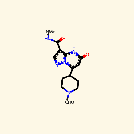 CNNC(=O)c1cnn2c(C3CCN(C=O)CC3)cc(=O)[nH]c12